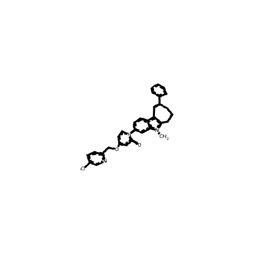 Cn1c2c(c3ccc(-n4ccc(OCc5ccc(Cl)cn5)cc4=O)cc31)CC(c1ccccc1)CCC2